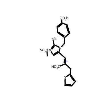 CCCCc1ncc(/C=C(/Cc2cccs2)C(=O)O)n1Cc1ccc(C(=O)O)cc1.CS(=O)(=O)O